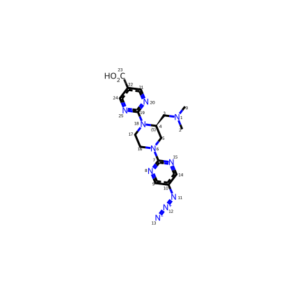 CN(C)C[C@H]1CN(c2ncc(N=[N+]=[N-])cn2)CCN1c1ncc(C(=O)O)cn1